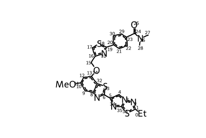 CCc1nn2cc(-c3nc4cc(OC)cc(OCc5csc(-c6ccc(C(=O)N(C)C)cc6)n5)c4s3)nc2s1